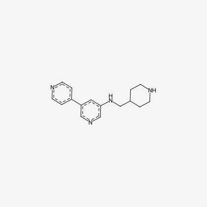 c1cc(-c2cncc(NCC3CCNCC3)c2)ccn1